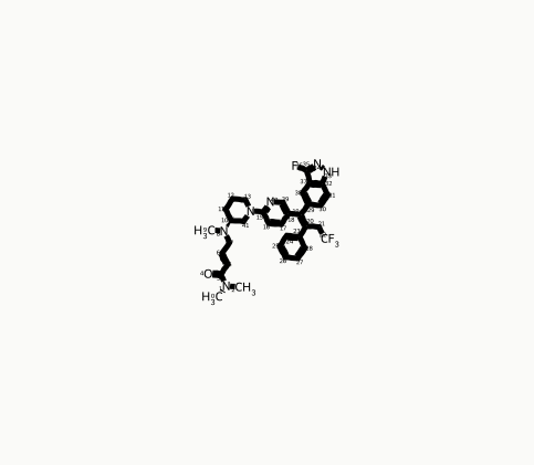 CN(C)C(=O)C=CCN(C)[C@H]1CCCN(c2ccc(/C(=C(/CC(F)(F)F)c3ccccc3)c3ccc4[nH]nc(F)c4c3)cn2)C1